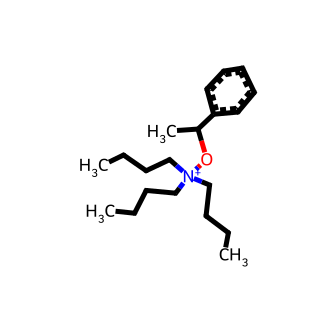 CCCC[N+](CCCC)(CCCC)OC(C)c1ccccc1